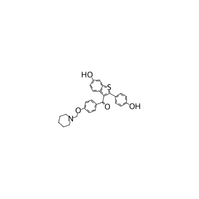 O=C(c1ccc(OCN2CCCCC2)cc1)c1c(-c2ccc(O)cc2)sc2cc(O)ccc12